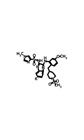 COc1ccc(CC2CCN(S(C)(=O)=O)CC2)c(Nc2nc3ccccc3nc2NS(=O)(=O)c2cn(C)cn2)c1.[K]